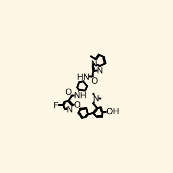 Cc1cccc2nc(C(=O)N[C@H]3CC[C@@H](NC(=O)c4cc(F)cnc4Oc4cccc(-c5ccc(O)cc5CN(C)C)c4)CC3)cn12